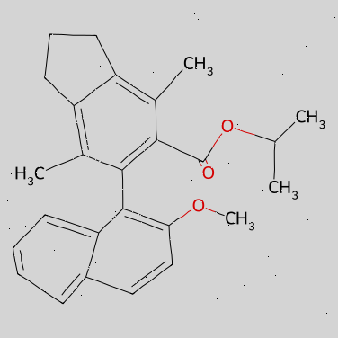 COc1ccc2ccccc2c1-c1c(C)c2c(c(C)c1C(=O)OC(C)C)CCC2